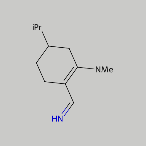 CNC1=C(C=N)CCC(C(C)C)C1